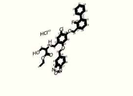 CCOC(=O)C(CO)NCc1cc(Cl)c(OCc2cccc(-c3ccccc3)c2F)cc1OCc1ccc2nonc2c1.Cl